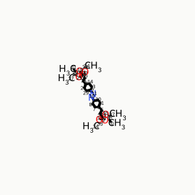 CCO[Si](C=Cc1ccc(N=Nc2ccc(C=C[Si](OCC)(OCC)OCC)cc2)cc1)(OCC)OCC